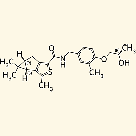 Cc1cc(CNC(=O)c2sc(C)c3c2C[C@@H]2[C@H]3C2(C)C)ccc1OC[C@@H](C)O